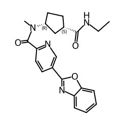 CCNC(=O)[C@H]1CC[C@@H](N(C)C(=O)c2ccc(-c3nc4ccccc4o3)cn2)C1